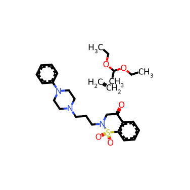 C=C.CCOC(C)OCC.O=C1CN(CCCN2CCN(c3ccccc3)CC2)S(=O)(=O)c2ccccc21